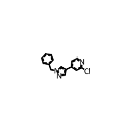 Clc1cc(-c2cnn(Cc3ccccc3)c2)c[c]n1